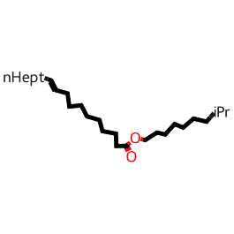 CCCCCCCC=CCCCCCCCCC(=O)OCCCCCCCC(C)C